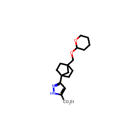 CCOC(=O)c1cc(C23CCC(COC4CCCCO4)(CC2)C3)n[nH]1